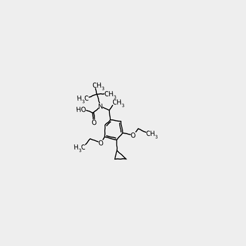 CCOc1cc(C(C)N(C(=O)O)C(C)(C)C)cc(OCC)c1C1CC1